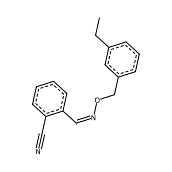 CCc1cccc(CO/N=[C]\c2ccccc2C#N)c1